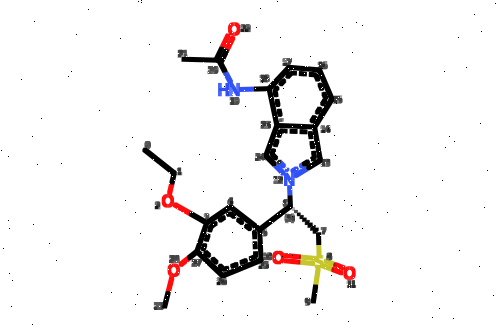 CCOc1cc([C@@H](CS(C)(=O)=O)n2cc3cccc(NC(C)=O)c3c2)ccc1OC